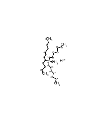 CCCCCCCC(CCCC)C(P)(CCCCCCC)CCCCCCC.I